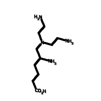 NCCN(CCN)CC(N)CCCC(=O)O